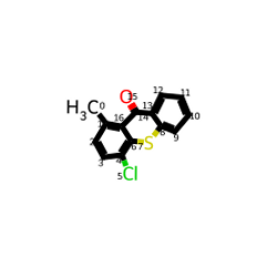 Cc1ccc(Cl)c2sc3ccccc3c(=O)c12